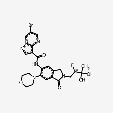 CC(C)(O)[C@H](F)CN1Cc2cc(NC(=O)c3cnn4cc(Br)cnc34)c(N3CCOCC3)cc2C1=O